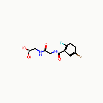 O=C(CNC(=O)C1=C(F)CCC(Br)=C1)NCB(O)O